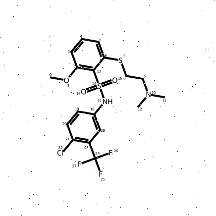 COc1cccc(SCCN(C)C)c1S(=O)(=O)Nc1ccc(Cl)c(C(F)(F)F)c1